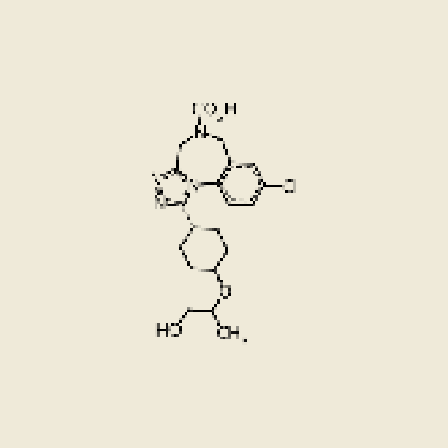 CC(CO)O[C@H]1CC[C@H](c2nnc3n2-c2ccc(Cl)cc2CN(C(=O)O)C3)CC1